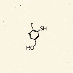 OCc1ccc(F)c(S)c1